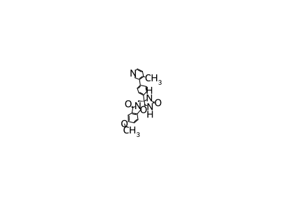 COc1ccc2c(c1)C(=O)N(C[C@@]1(c3ccc(-c4cnccc4C)cc3)NC(=O)NC1=O)C2